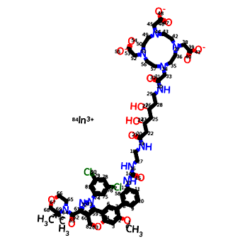 COc1cc2c(cc1-c1cccc(NC(=O)NCCNC(=O)C[C@H](O)C[C@H](O)CCNC(=O)CN3CCN(CC(=O)[O-])CCN(CC(=O)[O-])CCN(CC(=O)[O-])CC3)c1)-c1c(c(C(=O)N3CCOCC3(C)C)nn1-c1cc(Cl)cc(Cl)c1)CO2.[In+3]